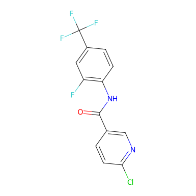 O=C(Nc1ccc(C(F)(F)F)cc1F)c1ccc(Cl)nc1